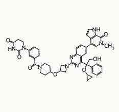 Cn1cc(-c2ccc3nc(N4CC(OC5CCN(C(=O)c6cccc(N7CCC(=O)NC7=O)c6)CC5)C4)nc(C(CO)(OC4CC4)c4ccccc4)c3c2)c2cc[nH]c2c1=O